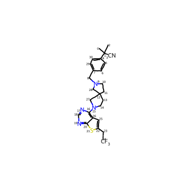 CC(C)(C#N)c1ccc(CN2CCC3(CCN(c4ncnc5sc(CC(F)(F)F)cc45)C3)C2)cc1